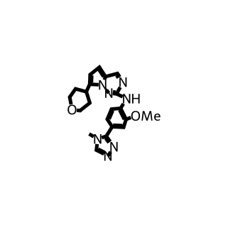 COc1cc(-c2nncn2C)ccc1Nc1ncc2ccc(C3CCOCC3)n2n1